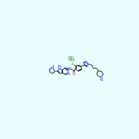 CN1CCC[C@@H]1c1cc2cnc(NC(=O)c3ccc(-c4cnn(CCCC5CCNCC5)c4)cc3F)cc2[nH]1.Cl.Cl